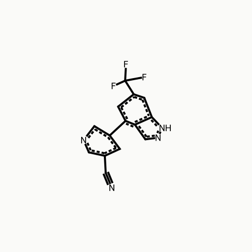 N#Cc1cncc(-c2cc(C(F)(F)F)cc3[nH]ncc23)c1